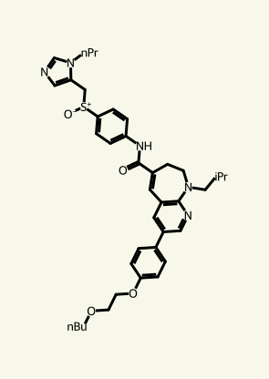 CCCCOCCOc1ccc(-c2cnc3c(c2)C=C(C(=O)Nc2ccc([S+]([O-])Cc4cncn4CCC)cc2)CCN3CC(C)C)cc1